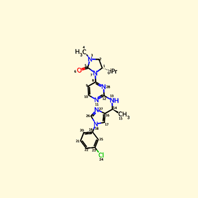 CC(C)[C@H]1CN(C)C(=O)N1c1ccnc(N[C@@H](C)c2cn(-c3cccc(Cl)c3)cn2)n1